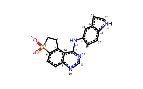 O=S1(=O)CCc2c1ccc1ncnc(Nc3ccc4[nH]ccc4c3)c21